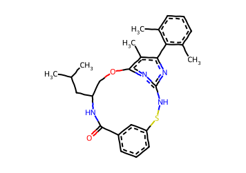 Cc1cccc(C)c1-c1nc2nc(c1C)OCC(CC(C)C)NC(=O)c1cccc(c1)SN2